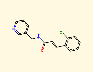 O=C(C=Cc1ccccc1Cl)NCc1cccnc1